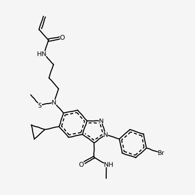 C=CC(=O)NCCCN(SC)c1cc2nn(-c3ccc(Br)cc3)c(C(=O)NC)c2cc1C1CC1